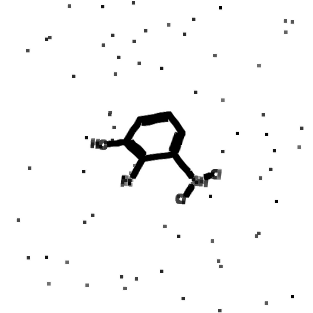 CCc1c(O)cccc1[SiH](Cl)Cl